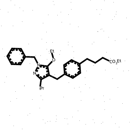 CCOC(=O)CCCc1ccc(Cc2c(C(C)C)nn(Cc3ccccc3)c2OCC)cc1